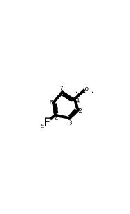 [C]c1ccc(F)cc1